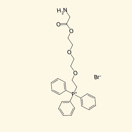 NCC(=O)OCCOCCOCC[P+](c1ccccc1)(c1ccccc1)c1ccccc1.[Br-]